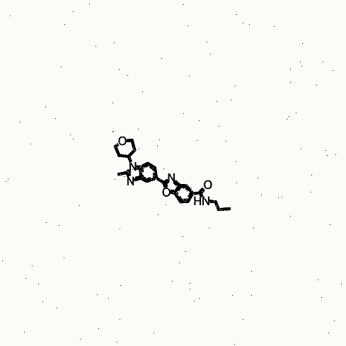 CCCNC(=O)c1ccc2oc(-c3ccc4c(c3)nc(C)n4C3CCOCC3)nc2c1